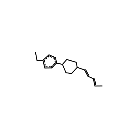 CC=CC=CC1CCC(c2ccc(CC)cc2)CC1